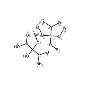 CCC(N)C(O)(O[SiH3])C(O)O.CCO[Si](OCC)(OCC)C(N)CC